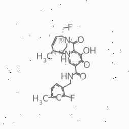 Cc1ccc(CNC(=O)c2cn3c(c(O)c2=O)C(=O)N2C[C@@H]3[C@H](C)C=C[C@@H]2CF)c(F)c1